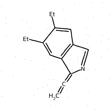 C=C=C1N=Cc2cc(CC)c(CC)cc21